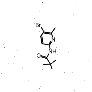 Cc1nc(NC(=O)C(C)(C)C)ccc1Br